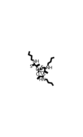 C=C(OP(=O)(OC(=C)C(=S)NCCCC)OC(=C)C(=S)NCCCC)C(=S)NCCCC